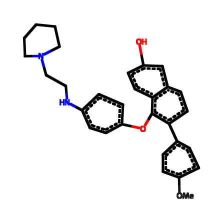 COc1ccc(-c2ccc3cc(O)ccc3c2Oc2ccc(NCCN3CCCCC3)cc2)cc1